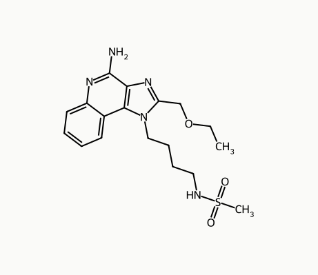 CCOCc1nc2c(N)nc3ccccc3c2n1CCCCNS(C)(=O)=O